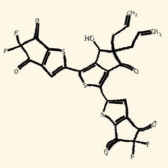 C=CCC1(CC=C)C(=O)c2c(-c3cc4c(s3)C(=O)C(F)(F)C4=O)sc(-c3cc4c(s3)C(=O)C(F)(F)C4=O)c2C1O